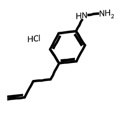 C=CCCc1ccc(NN)cc1.Cl